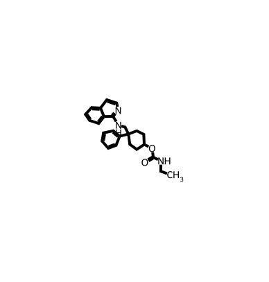 CCNC(=O)OC1CCC(CNc2nccc3ccccc23)(c2ccccc2)CC1